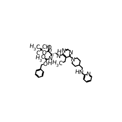 CCc1c(NC[C@H](NC(=O)OCc2ccccc2)C(=O)OC(C)(C)C)ncnc1N1CCC(CNc2ccccn2)CC1